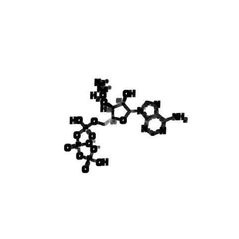 Nc1ncnc2c1ncn2C1O[C@H](COP(=O)(O)OP(=O)([O-])OP(=O)([O-])O)[C@@H](O)[C@H]1O.O.[Na+].[Na+]